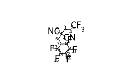 N#CC(C#N)(CCC(F)(F)F)Cc1c(F)c(F)c(F)c(F)c1F